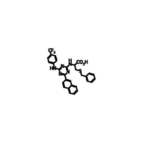 O=C(O)C(CSCc1ccccc1)Nc1nc(Nc2ccc(C(F)(F)F)cc2)nc(-c2ccc3ccccc3c2)n1